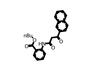 CCCCOC(=O)c1ccccc1NC(=O)CC(=O)c1ccc2ccccc2c1